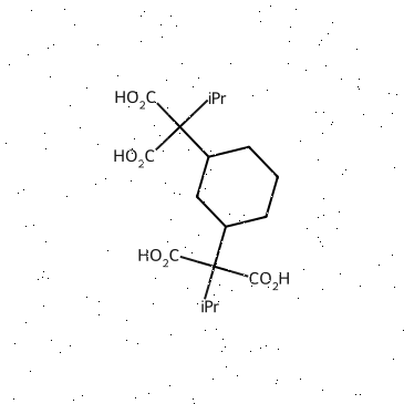 CC(C)C(C(=O)O)(C(=O)O)C1CCCC(C(C(=O)O)(C(=O)O)C(C)C)C1